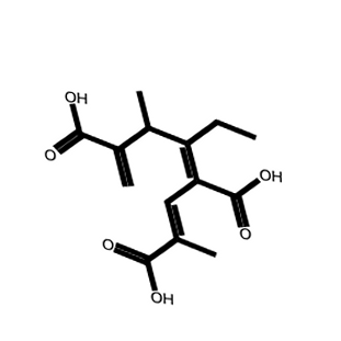 C=C(C(=O)O)C(C)C(CC)=C(C=C(C)C(=O)O)C(=O)O